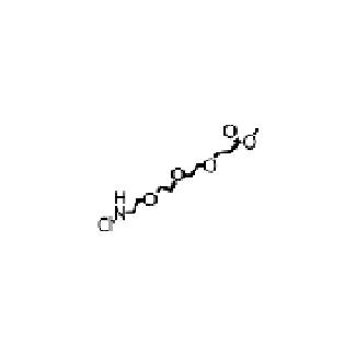 COC(=O)CCOCCOCCOCCNCl